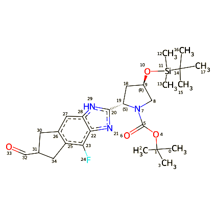 CC(C)(C)OC(=O)N1C[C@H](O[Si](C)(C)C(C)(C)C)C[C@H]1c1nc2c(F)c3c(cc2[nH]1)CC(C=O)C3